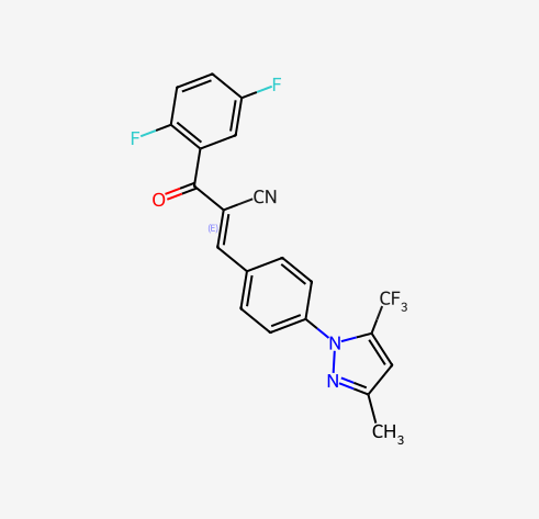 Cc1cc(C(F)(F)F)n(-c2ccc(/C=C(\C#N)C(=O)c3cc(F)ccc3F)cc2)n1